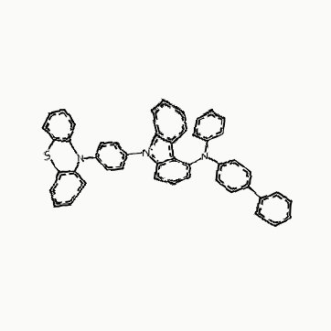 c1ccc(-c2ccc(N(c3ccccc3)c3cccc4c3c3ccccc3n4-c3ccc(N4c5ccccc5Sc5ccccc54)cc3)cc2)cc1